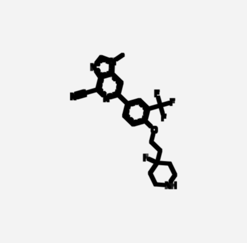 Cn1cnc2c(C#N)nc(-c3ccc(OCCC4(F)CCNCC4)c(C(F)(F)F)c3)cc21